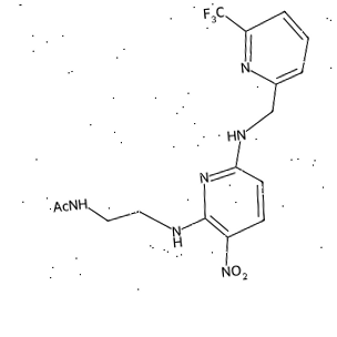 CC(=O)NCCNc1nc(NCc2cccc(C(F)(F)F)n2)ccc1[N+](=O)[O-]